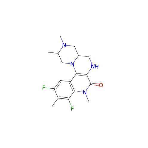 Cc1c(F)cc2c3c(c(=O)n(C)c2c1F)NCC1CN(C)C(C)CN31